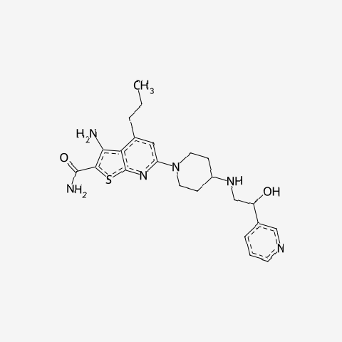 CCCc1cc(N2CCC(NCC(O)c3cccnc3)CC2)nc2sc(C(N)=O)c(N)c12